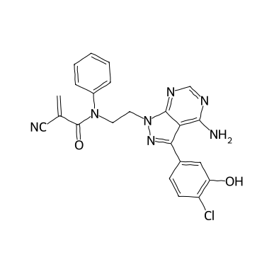 C=C(C#N)C(=O)N(CCn1nc(-c2ccc(Cl)c(O)c2)c2c(N)ncnc21)c1ccccc1